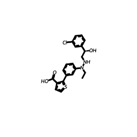 CCN(NC[C@H](O)c1cccc(Cl)c1)c1cccc(-c2sccc2C(=O)O)c1